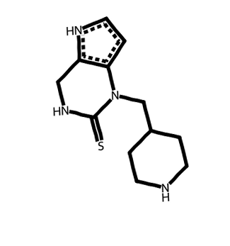 S=C1NCc2[nH]ccc2N1CC1CCNCC1